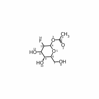 CC(=O)OC1OC(CO)[C@@H](O)C(O)C1F